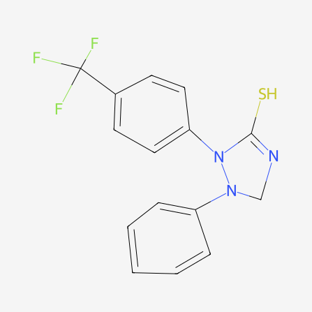 FC(F)(F)c1ccc(N2C(S)=NCN2c2ccccc2)cc1